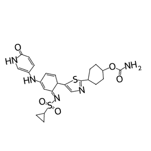 NC(=O)OC1CCC(c2ncc(C3C=CC(Nc4ccc(=O)[nH]c4)=CC3=NS(=O)(=O)C3CC3)s2)CC1